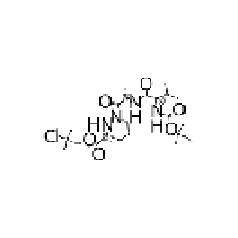 CC(C)[C@H](NC(=O)OC(C)(C)C)C(=O)N[C@@H](C)C(=O)N1CCC[C@@H](C(=O)OCC(C)(C)Cl)N1